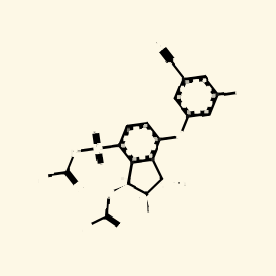 CC(=O)NS(=O)(=O)c1ccc(Oc2cc(F)cc(C#N)c2)c2c1[C@H](OC(C)=O)[C@H](F)[C@H]2Br